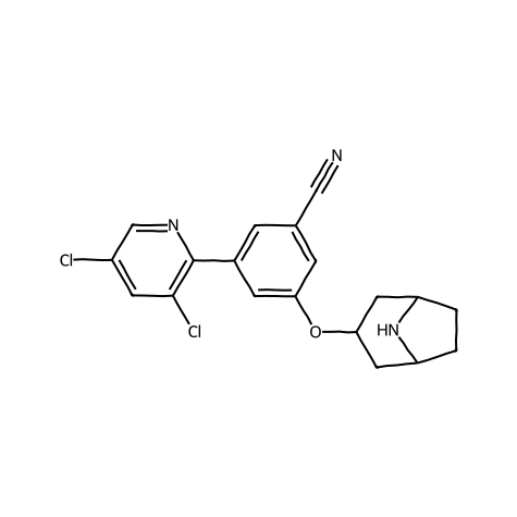 N#Cc1cc(OC2CC3CCC(C2)N3)cc(-c2ncc(Cl)cc2Cl)c1